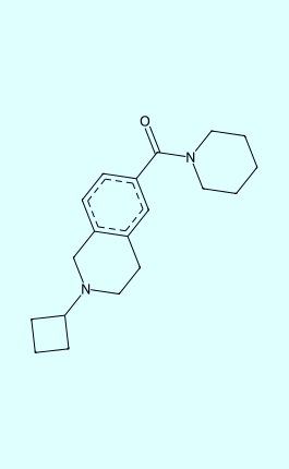 O=C(c1ccc2c(c1)CCN(C1CCC1)C2)N1CCCCC1